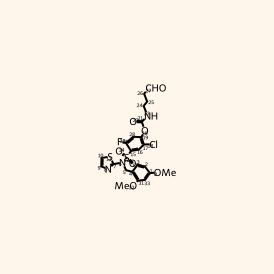 COc1ccc(CN(c2nccs2)S(=O)(=O)c2cc(Cl)c(OC(=O)NCCCC=O)cc2F)c(OC)c1